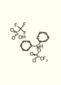 O=S(=O)(O)C(F)(F)F.O=S(=O)(O[SiH](c1ccccc1)c1ccccc1)C(F)(F)F